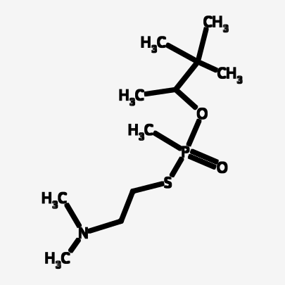 CC(OP(C)(=O)SCCN(C)C)C(C)(C)C